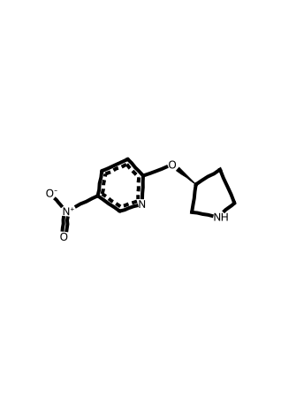 O=[N+]([O-])c1ccc(O[C@H]2CCNC2)nc1